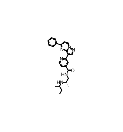 CCC(C)N[C@@H](C)CNC(=O)c1ccnc(-c2cnn3ccc(-c4ccccc4)nc23)c1